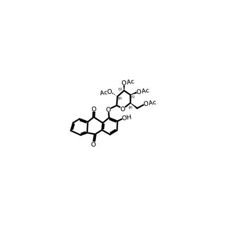 CC(=O)OC[C@H]1OC(Oc2c(O)ccc3c2C(=O)c2ccccc2C3=O)[C@H](OC(C)=O)[C@@H](OC(C)=O)[C@H]1OC(C)=O